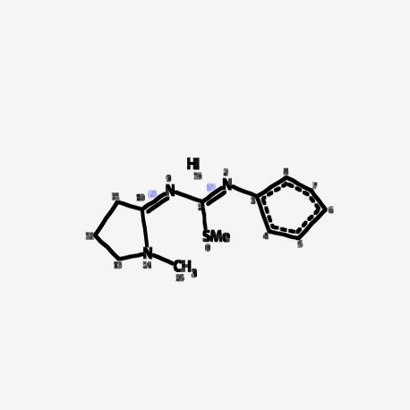 CSC(=N\c1ccccc1)/N=C1/CCCN1C.I